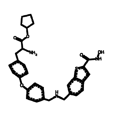 NC(Cc1ccc(Oc2ccc(CNCc3ccc4cc(C(=O)NO)sc4c3)cc2)cc1)C(=O)OC1CCCC1